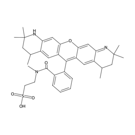 CC1CC(C)(C)Nc2cc3c(cc21)C(c1ccccc1C(=O)N(C)CCS(=O)(=O)O)=c1cc2c(cc1O3)=NC(C)(C)CC2C